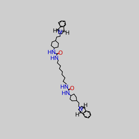 O=C(NCCCCCCCCCNC(=O)NC1CCC(CCN2[C@@H]3CC[C@H]2c2ccccc23)CC1)NC1CCC(CCN2[C@@H]3CC[C@H]2c2ccccc23)CC1